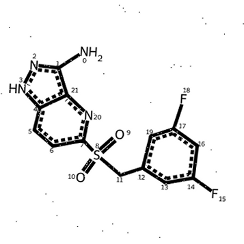 Nc1n[nH]c2ccc(S(=O)(=O)Cc3cc(F)cc(F)c3)nc12